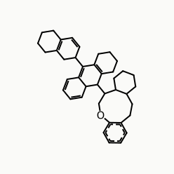 C1=CC2=C(C3C=CC4=C(CCCC4)C3)C3=C(CCCC3)C(C3COc4ccccc4CCC4CCCCC43)C2C=C1